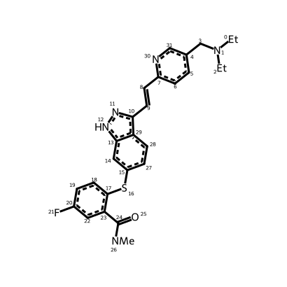 CCN(CC)Cc1ccc(/C=C/c2n[nH]c3cc(Sc4ccc(F)cc4C(=O)NC)ccc23)nc1